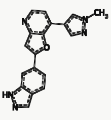 Cn1cc(-c2ccnc3cc(-c4ccc5cn[nH]c5c4)oc23)cn1